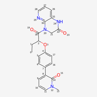 CCC(Oc1ccc(-c2cccn(C)c2=O)cc1)C(=O)N1CC(=O)Nc2cccnc21